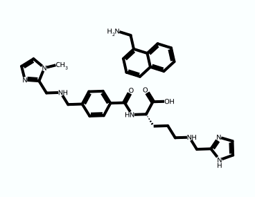 Cn1ccnc1CNCc1ccc(C(=O)N[C@@H](CCCNCc2ncc[nH]2)C(=O)O)cc1.NCc1cccc2ccccc12